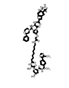 Cc1ncsc1-c1ccc([C@H](C)NC(=O)[C@@H]2C[C@@H](O)CN2C(=O)[C@@H](NC(=O)CCCCCCCCNC(=O)CO[C@H]2C[C@@H](C(=O)N3CCO[C@H](c4ccccc4)C3)N(C(=O)[C@@H](NC(=O)c3cc4cc(C(F)(F)P(=O)(O)O)ccc4s3)C(C)(C)C)C2)C(C)(C)C)cc1